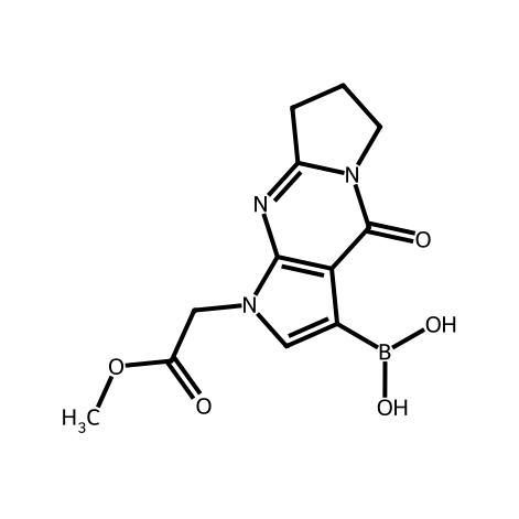 COC(=O)Cn1cc(B(O)O)c2c(=O)n3c(nc21)CCC3